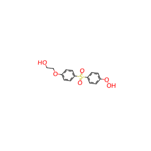 O=S(=O)(c1ccc(OO)cc1)c1ccc(OCCO)cc1